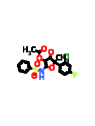 CC(=O)OC1=C(NS(=O)(=O)c2ccccc2)OC(C)(c2ccc(F)cc2Cl)C1=O